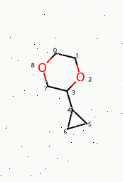 C1COC(C2CC2)CO1